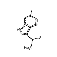 Cc1ccc2c(C(F)C(=O)O)c[nH]c2c1